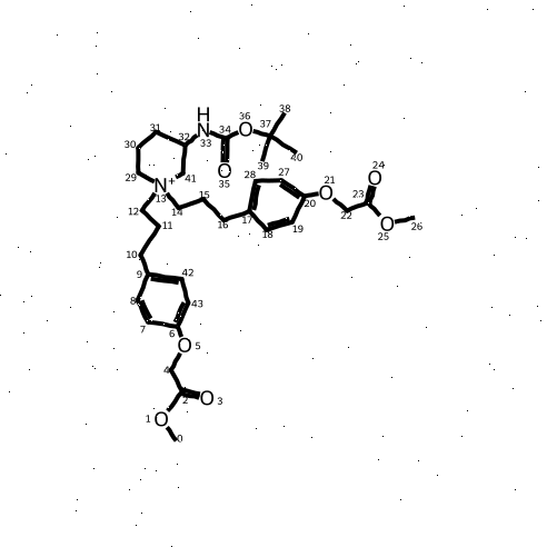 COC(=O)COc1ccc(CCC[N+]2(CCCc3ccc(OCC(=O)OC)cc3)CCCC(NC(=O)OC(C)(C)C)C2)cc1